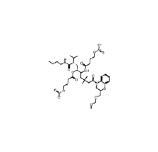 CCCCNC(=O)[C@@H](C[C@H](OC(=O)CCCO[N+](=O)[O-])C(CC(C)(C)CC(=O)N1C[C@H](COCOC)Oc2ccccc21)NC(=O)CCCO[N+](=O)[O-])C(C)C